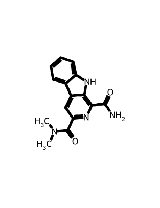 CN(C)C(=O)c1cc2c([nH]c3ccccc32)c(C(N)=O)n1